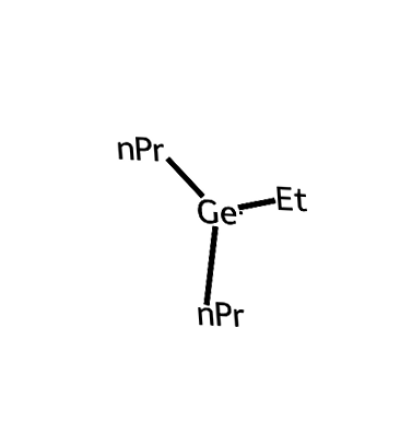 CC[CH2][Ge]([CH2]C)[CH2]CC